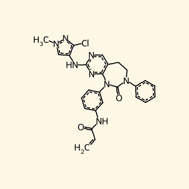 C=CC(=O)Nc1cccc(N2C(=O)N(c3ccccc3)CCc3cnc(Nc4cn(C)nc4Cl)nc32)c1